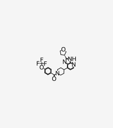 O=C(c1ccc(OC(F)(F)F)cc1)N1CCC(c2ccnc3[nH]c([C@H]4CCOC4)nc23)CC1